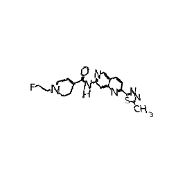 Cc1nnc(-c2ccc3cnc(NC(=O)C4CCN(CCF)CC4)cc3n2)s1